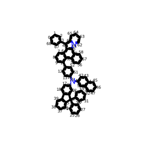 c1ccc(-c2c3c4cccc(-c5ccc(N(c6ccc7c(c6)C(c6ccccc6)(c6ccccc6)c6ccccc6-7)c6ccc7ccccc7c6)cc5)c4c4ccccc4c3n3ccccc23)cc1